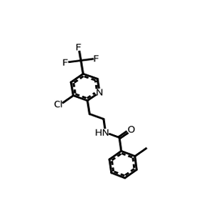 Cc1ccccc1C(=O)NCCc1ncc(C(F)(F)F)cc1Cl